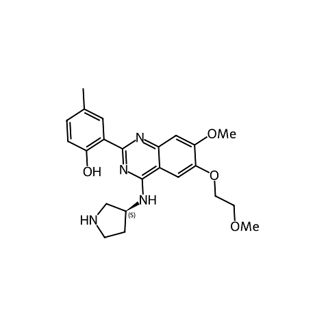 COCCOc1cc2c(N[C@H]3CCNC3)nc(-c3cc(C)ccc3O)nc2cc1OC